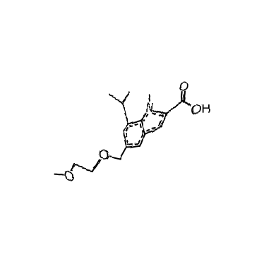 COCCOCc1cc(C(C)C)c2c(c1)cc(C(=O)O)n2C